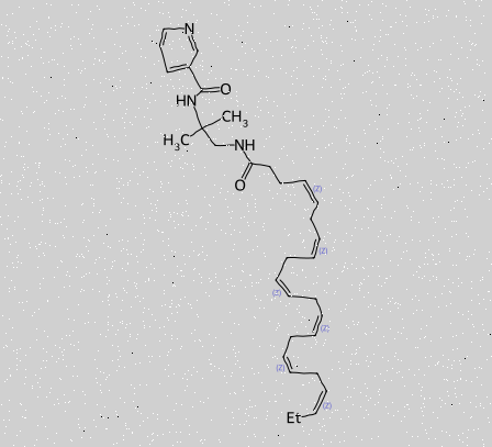 CC/C=C\C/C=C\C/C=C\C/C=C\C/C=C\C/C=C\CCC(=O)NCC(C)(C)NC(=O)c1cccnc1